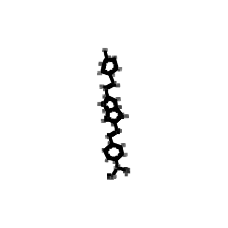 CCN(CC)c1ccc(N=Nc2nc3oc(N=Nc4ccc(C)cc4)cc3s2)cc1